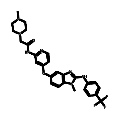 CN1CCN(CC(=O)Nc2cc(Oc3ccc4c(c3)nc(Nc3ccc(C(F)(F)F)cc3)n4C)ccn2)CC1